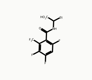 CCC(NC(=O)c1c(F)cc(F)c(F)c1C(F)(F)F)C(=O)O